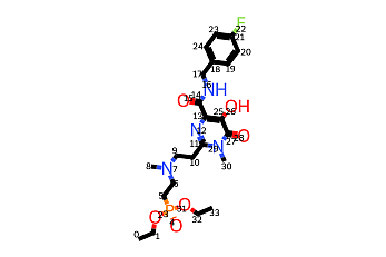 CCOP(=O)(CCN(C)CCc1nc(C(=O)NCc2ccc(F)cc2)c(O)c(=O)n1C)OCC